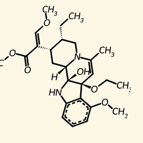 CCO[C@]12C=C(C)N3C[C@@H](CC)[C@@H](/C(=C\OC)C(=O)OC)C[C@H]3[C@@]1(O)Nc1cccc(OC)c12